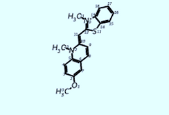 COc1ccc2c(c1)C=CC(=Cc1sc3ccccc3[n+]1C)N2C